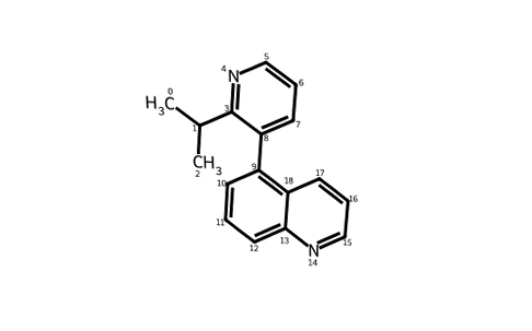 CC(C)c1ncccc1-c1cccc2ncccc12